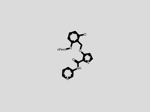 CCCCCOc1cccc(Cl)c1COc1ccsc1C(=O)Nc1cccnc1